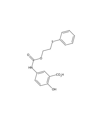 O=C(Nc1ccc(O)c(C(=O)O)c1)OCCSc1ccccc1